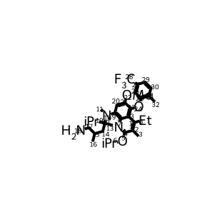 CCc1c(C)c(OC(C)C)nc2c(N(C)C(C)(CC(C)CN)C(C)C)cc(OC)c(Oc3cc(C(F)(F)F)ccc3C)c12